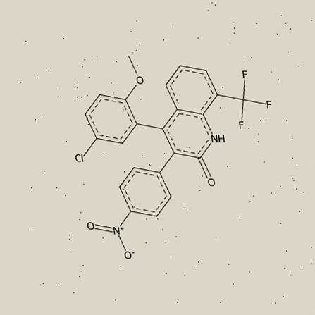 COc1ccc(Cl)cc1-c1c(-c2ccc([N+](=O)[O-])cc2)c(=O)[nH]c2c(C(F)(F)F)cccc12